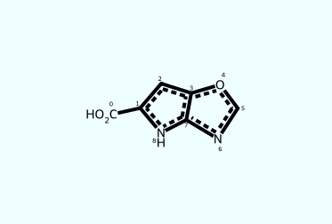 O=C(O)c1cc2ocnc2[nH]1